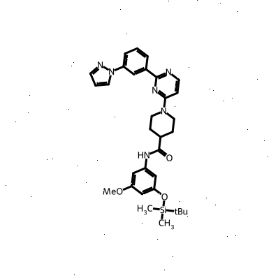 COc1cc(NC(=O)C2CCN(c3ccnc(-c4cccc(-n5cccn5)c4)n3)CC2)cc(O[Si](C)(C)C(C)(C)C)c1